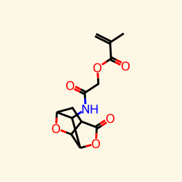 C=C(C)C(=O)OCC(=O)NC1C2CC3C(=O)OC1C3O2